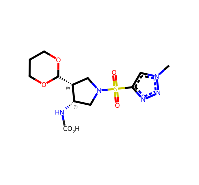 Cn1cc(S(=O)(=O)N2C[C@H](NC(=O)O)[C@H](C3OCCCO3)C2)nn1